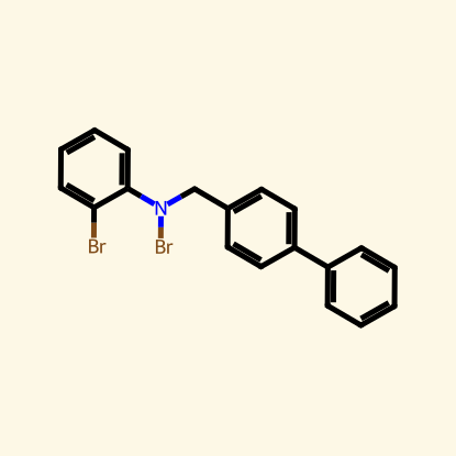 Brc1ccccc1N(Br)Cc1ccc(-c2ccccc2)cc1